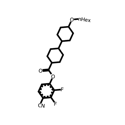 CCCCCCOC1CCC(C2CCC(C(=O)Oc3ccc(C#N)c(F)c3F)CC2)CC1